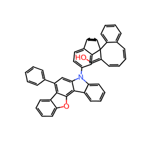 O/C=C1/C=C\C=C/c2ccccc2C12c1ccccc1-c1ccc(-n3c4ccccc4c4c5oc6ccccc6c5c(-c5ccccc5)cc43)cc12